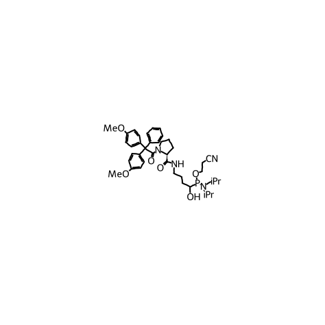 COc1ccc(C(C(=O)N2CCC[C@H]2C(=O)NCCCC(O)P(OCCC#N)N(C(C)C)C(C)C)(c2ccccc2)c2ccc(OC)cc2)cc1